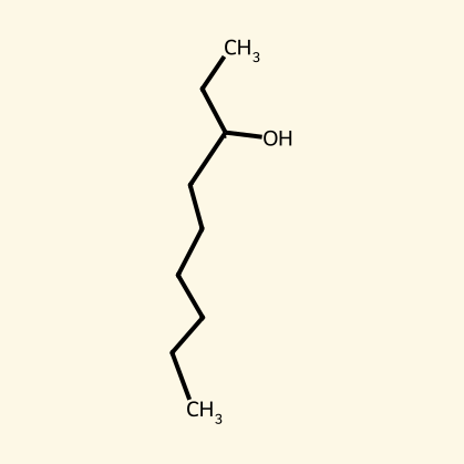 CCCCCC[C](O)CC